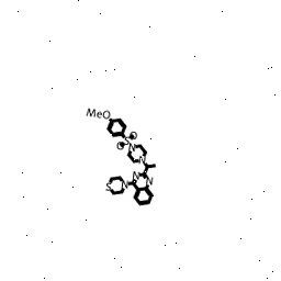 COc1ccc(S(=O)(=O)N2CCN(C(C)c3nc(N4CCSCC4)c4ccccc4n3)CC2)cc1